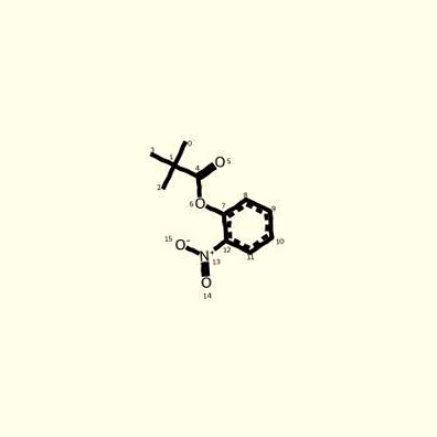 CC(C)(C)C(=O)Oc1ccccc1[N+](=O)[O-]